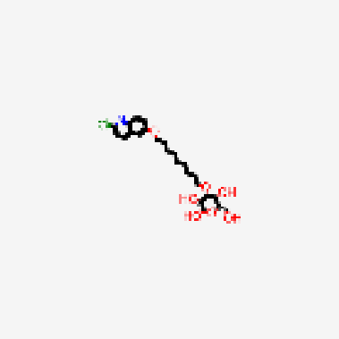 OC[C@@H]1OC(O)[C@@H](O)[C@H](OCCCCCCCCCOc2ccc3nc(Cl)ccc3c2)[C@H]1O